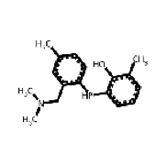 Cc1ccc(Pc2cccc(C)c2O)c(CN(C)C)c1